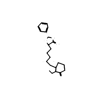 C[C@H](CCC[C@@]1(C)O[C@H](c2ccccc2)OC1=O)[C@H]1CCC2C(=O)CCC[C@@]21C